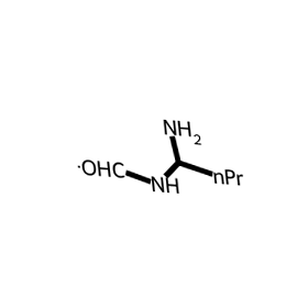 CCCC(N)N[C]=O